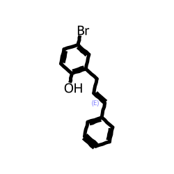 Oc1ccc(Br)cc1C/C=C/c1cc#ccc1